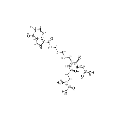 Cn1nnc2c(C(=O)OCCSSC[C@H](NC(=O)CC[C@H](N)C(=O)O)C(=O)NCC(=O)O)ncn2c1=O